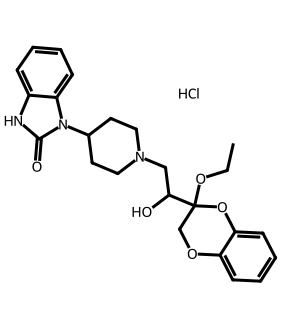 CCOC1(C(O)CN2CCC(n3c(=O)[nH]c4ccccc43)CC2)COc2ccccc2O1.Cl